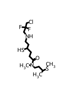 CSC(C)CCN(C)C(=O)CCC(S)CCNCC(F)(F)CCl